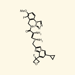 COc1ccc(-n2cnnn2)c(CNC(=O)/C(N)=C/N(N)Cc2cn3cc(C4CC4)cc(C4(F)COC4)c3n2)c1F